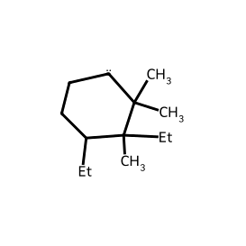 CCC1CC[C]C(C)(C)C1(C)CC